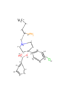 CCCC(P)CN1CC[C@@](OCc2ccccc2)(c2ccc(Cl)cc2)[C@H](O)C1